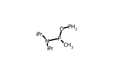 CC(C)N(C(C)C)P(C)OP